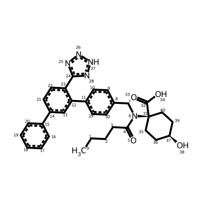 CCCCC(=O)N(Cc1ccc(-c2cc(-c3ccccc3)ccc2-c2nn[nH]n2)cc1)[C@]1(C(=O)O)CC[C@H](O)CC1